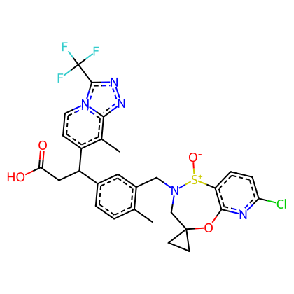 Cc1ccc(C(CC(=O)O)c2ccn3c(C(F)(F)F)nnc3c2C)cc1CN1CC2(CC2)Oc2nc(Cl)ccc2[S+]1[O-]